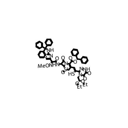 CCOC(Cn1c(C(S)=CC2=C(C(=O)OC(c3ccccc3)c3ccccc3)N3C(=O)C(NC(=O)C(=NOC)c4csc(NC(c5ccccc5)(c5ccccc5)c5ccccc5)n4)C3[S+]([O-])C2)n[nH]c(=O)c1=O)OCC